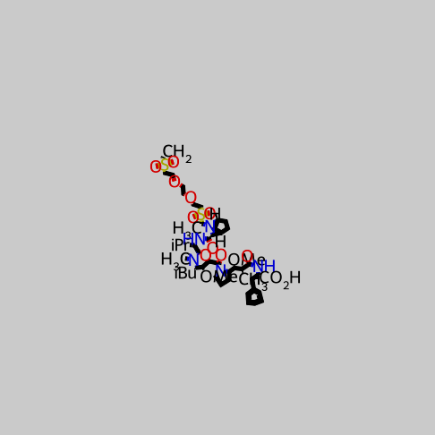 C=CS(=O)(=O)CCOCCOCCS(=O)(=O)C(C)N1[C@@H]2CC[C@@H](C2)[C@H]1C(=O)NC(C(=O)N(C)[C@@H]([C@@H](C)CC)[C@@H](CC(=O)N1CCCC1[C@H](OC)[C@@H](C)C(=O)NC(Cc1ccccc1)C(=O)O)OC)C(C)C